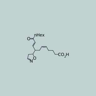 CCCCCCC(=O)/C=C/C(C/C=C\CCCC(=O)O)C1CC=NO1